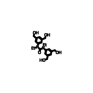 CCN(C(=O)N(CC)c1cc(CO)cc(CO)c1)c1cc(CO)cc(CO)c1